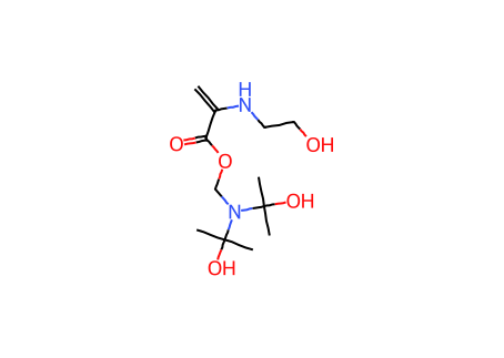 C=C(NCCO)C(=O)OCN(C(C)(C)O)C(C)(C)O